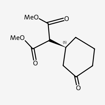 COC(=O)C(C(=O)OC)[C@H]1CCCC(=O)C1